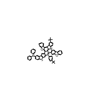 CC(C)(C)c1ccc(N2B3c4cc5oc6ccccc6c5cc4-n4c5ccc(C(C)(C)C)cc5c5c6c(oc7ccccc76)c(c3c54)-c3cc4c(cc32)sc2ccc(N(c3ccccc3)c3ccccc3)cc24)cc1